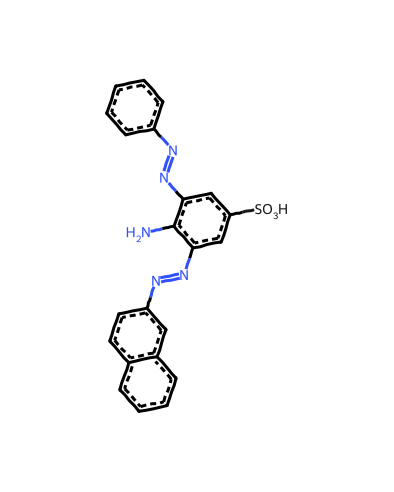 Nc1c(N=Nc2ccccc2)cc(S(=O)(=O)O)cc1N=Nc1ccc2ccccc2c1